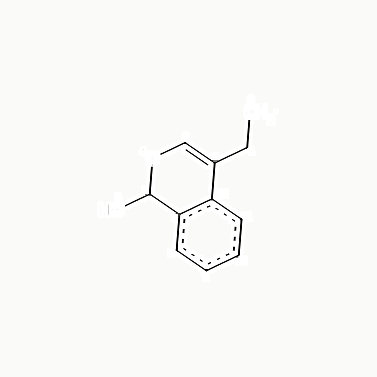 [CH2]CC1=COC(O)c2ccccc21